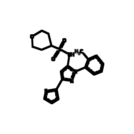 Cc1ccccc1-n1nc(-c2cccs2)cc1NS(=O)(=O)C1CCOCC1